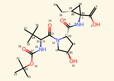 C=C(O)[C@@]1(NC(=O)[C@@H]2C[C@@H](O)CN2C(=O)[C@@H](NC(=O)OC(C)(C)C)C(C)(C)C)C[C@H]1CC